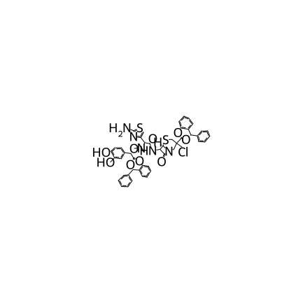 Nc1nc(C(=NOC(C(=O)OC(c2ccccc2)c2ccccc2)c2ccc(O)c(O)c2)C(=O)NC2C(=O)N3CC(CCl)(C(=O)OC(c4ccccc4)c4ccccc4)CS[C@H]23)cs1